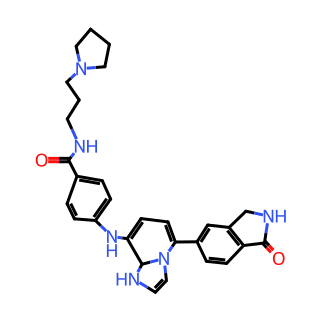 O=C(NCCCN1CCCC1)c1ccc(NC2=CC=C(c3ccc4c(c3)CNC4=O)N3C=CNC23)cc1